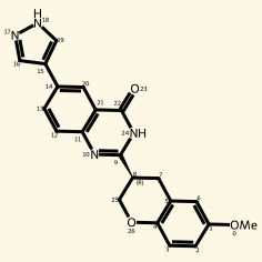 COc1ccc2c(c1)C[C@H](c1nc3ccc(-c4cn[nH]c4)cc3c(=O)[nH]1)CO2